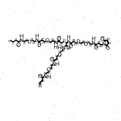 CCCC(=O)NCCOCCNC(=O)CCOCCNC(=O)CC[C@H](NC(=O)CCOCCOCCNC(=O)CCN1C(=O)C=CC1=O)C(=O)NCCOCCC(=O)NCCOCCNC(=O)CCC